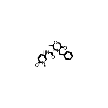 C[C@H]1OCC(=O)N(Cc2ccccc2)[C@@H]1C(=O)Nc1ccc(=O)n(C)c1